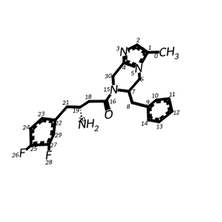 Cc1cnc2n1CC(Cc1ccccc1)N(C(=O)C[C@H](N)Cc1ccc(F)c(F)c1)C2